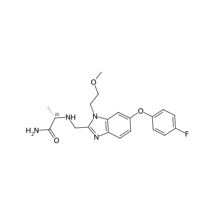 COCCn1c(CN[C@@H](C)C(N)=O)nc2ccc(Oc3ccc(F)cc3)cc21